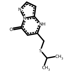 CC(C)SCc1cc(=O)n2nccc2[nH]1